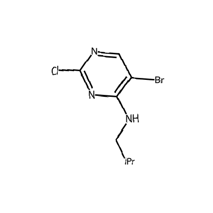 CC(C)CNc1nc(Cl)ncc1Br